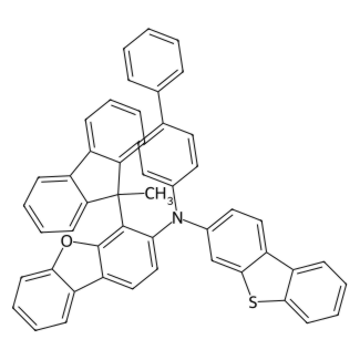 CC1(c2c(N(c3ccc(-c4ccccc4)cc3)c3ccc4c(c3)sc3ccccc34)ccc3c2oc2ccccc23)c2ccccc2-c2ccccc21